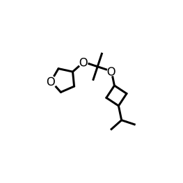 CC(C)C1CC(OC(C)(C)OC2CCOC2)C1